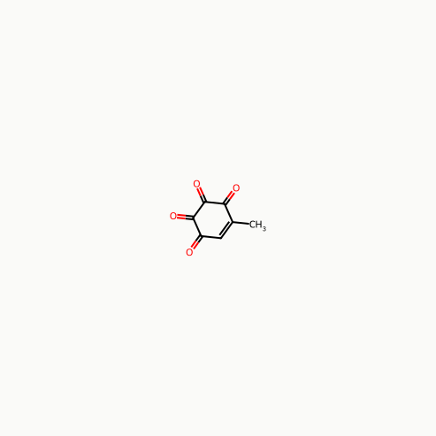 Cc1cc(=O)c(=O)c(=O)c1=O